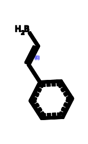 B/C=C/c1ccccc1